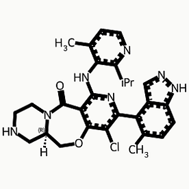 Cc1ccnc(C(C)C)c1Nc1nc(-c2c(C)ccc3[nH]ncc23)c(Cl)c2c1C(=O)N1CCNC[C@@H]1CO2